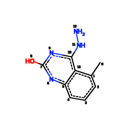 Cc1cccc2nc(O)nc(NN)c12